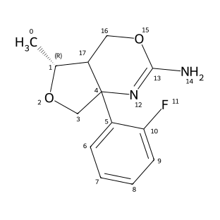 C[C@H]1OCC2(c3ccccc3F)N=C(N)OCC12